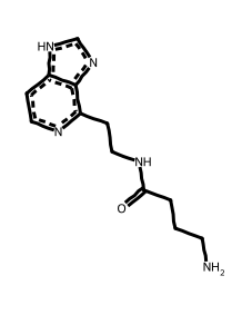 NCCCC(=O)NCCc1nccc2[nH]cnc12